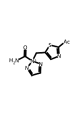 CC(=O)c1ncc(C[N+]2(C(N)=O)N=[C]C=N2)s1